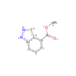 CCCOC(=O)c1cccc2nnsc12